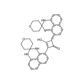 O=C1C(c2ccc3cccc4c3c2NC2(CCOCC2)N4)=C(O)/C1=c1/ccc2cccc3c2c1=NC1(CCOCC1)N3